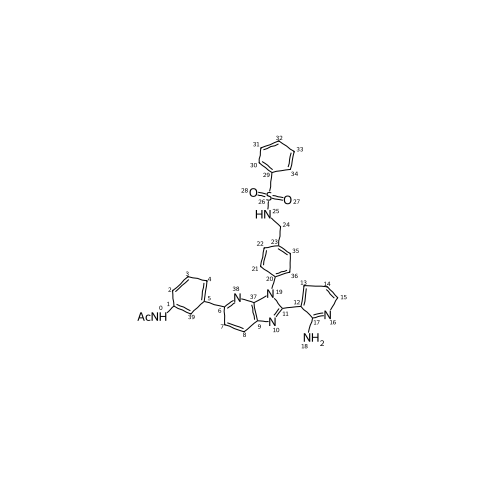 CC(=O)Nc1cccc(-c2ccc3nc(-c4cccnc4N)n(-c4ccc(CNS(=O)(=O)c5ccccc5)cc4)c3n2)c1